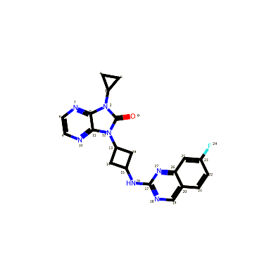 O=c1n(C2CC2)c2nccnc2n1C1CC(Nc2ncc3ccc(F)cc3n2)C1